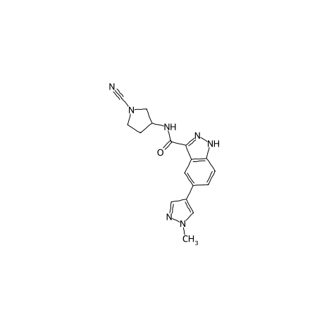 Cn1cc(-c2ccc3[nH]nc(C(=O)NC4CCN(C#N)C4)c3c2)cn1